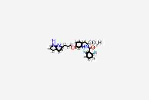 O=C(N[C@@H](Cc1ccc(OCCCc2ccc3c(n2)NCCC3)cc1)C(=O)O)c1c(F)cccc1F